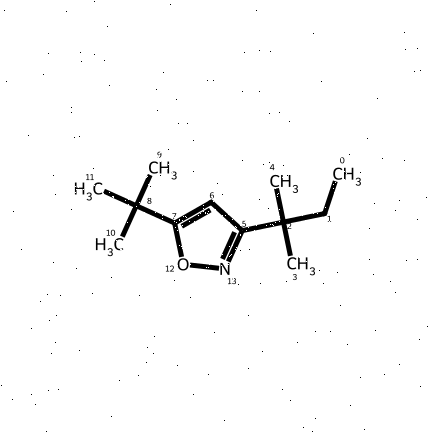 CCC(C)(C)c1cc(C(C)(C)C)on1